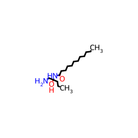 CCCCCCCCCCCC(=O)NC(O)(CN)CCC